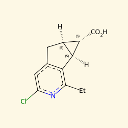 CCc1nc(Cl)cc2c1[C@H]1[C@@H](C2)[C@@H]1C(=O)O